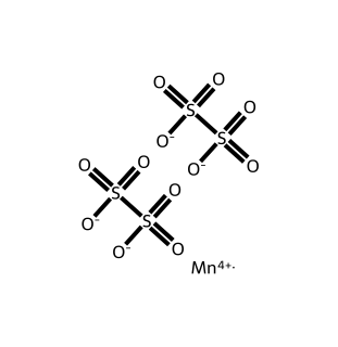 O=S(=O)([O-])S(=O)(=O)[O-].O=S(=O)([O-])S(=O)(=O)[O-].[Mn+4]